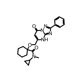 CN(C(=O)C1(OCc2cc(=O)n3nc(-c4ccccc4)nc3[nH]2)CCCCC1)C1CC1